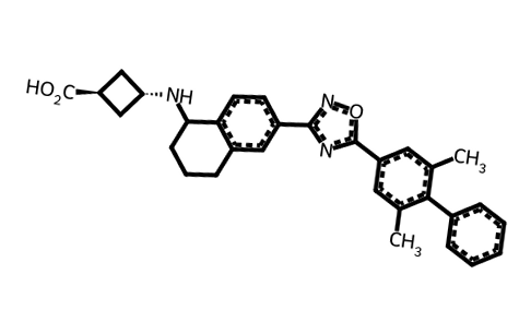 Cc1cc(-c2nc(-c3ccc4c(c3)CCCC4N[C@H]3C[C@H](C(=O)O)C3)no2)cc(C)c1-c1ccccc1